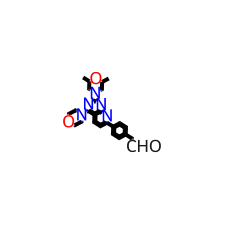 CC1CN(c2nc(N3CCOCC3)c3ccc(-c4ccc(CC=O)cc4)nc3n2)CC(C)O1